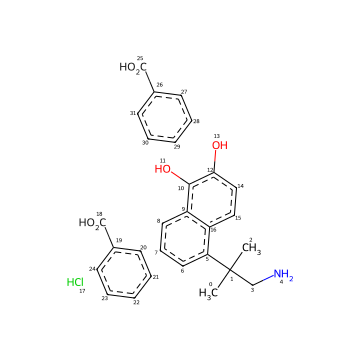 CC(C)(CN)c1cccc2c(O)c(O)ccc12.Cl.O=C(O)c1ccccc1.O=C(O)c1ccccc1